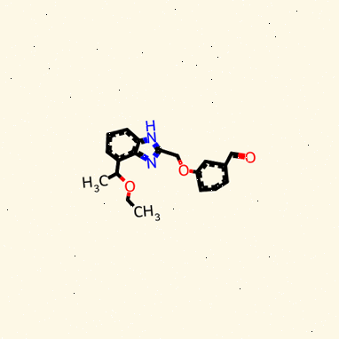 CCOC(C)c1cccc2[nH]c(COc3cccc(C=O)c3)nc12